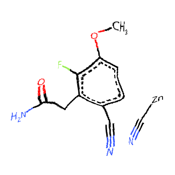 COc1ccc(C#N)c(CC(N)=O)c1F.N#[C][Zn]